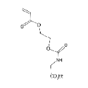 C=CC(=O)OCCOC(=O)NCC(=O)OCC